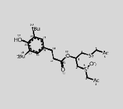 CC(=O)CSCC(C[S+]([O-])CC(C)=O)OC(=O)CCc1cc(C(C)(C)C)c(O)c(C(C)(C)C)c1